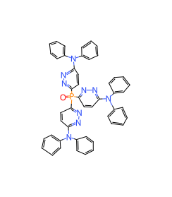 O=P(c1ccc(N(c2ccccc2)c2ccccc2)nn1)(c1ccc(N(c2ccccc2)c2ccccc2)nn1)c1ccc(N(c2ccccc2)c2ccccc2)nn1